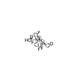 COc1cccc(N2CCN(C3=Nc4c(F)cccc4C(CC(=O)O)N3c3cc(C(F)(F)F)ccc3F)CC2)c1